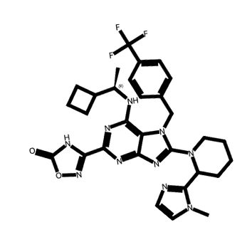 C[C@@H](Nc1nc(-c2noc(=O)[nH]2)nc2nc(N3CCCCC3c3nccn3C)n(Cc3ccc(C(F)(F)F)cc3)c12)C1CCC1